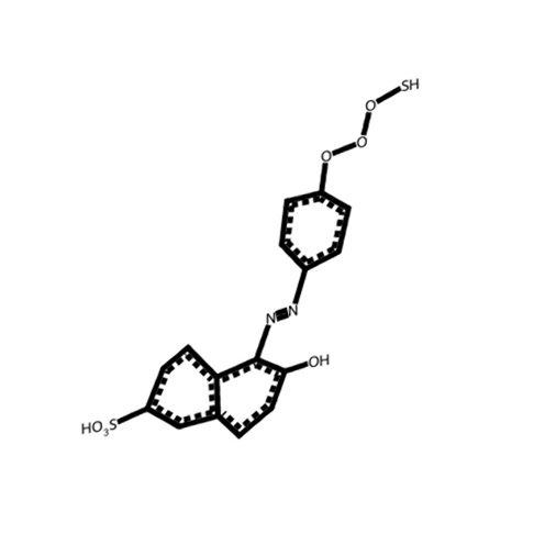 O=S(=O)(O)c1ccc2c(/N=N/c3ccc(OOOS)cc3)c(O)ccc2c1